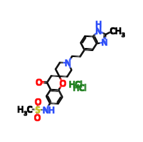 Cc1nc2cc(CCN3CCC4(CC3)CC(=O)c3cc(NS(C)(=O)=O)ccc3O4)ccc2[nH]1.Cl.Cl